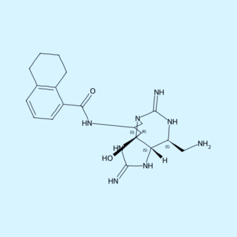 N=C1N[C@H]2[C@H](CN)NC(=N)N3CC(NC(=O)c4cccc5c4CCCC5)[C@@H](O)[C@]23N1